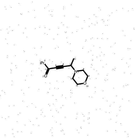 CC(C)C(=O)C#CC(C)N1CCOCC1